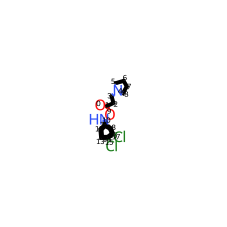 O=C(CCN1CCCC1)ONc1ccc(Cl)c(Cl)c1